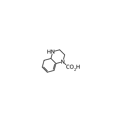 O=C(O)N1CCNC2CC=CC=C21